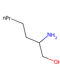 CCCCCC(N)CO